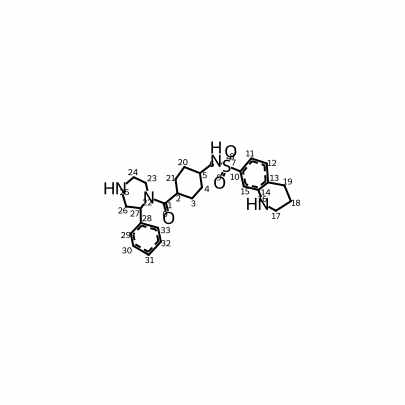 O=C(C1CCC(NS(=O)(=O)c2ccc3c(c2)NCCC3)CC1)N1CCNCC1c1ccccc1